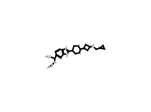 CC(N=[N+]=[N-])c1ccc2nc(C3CCC(C4CC(OCC5CC5)C4)CC3)oc2c1